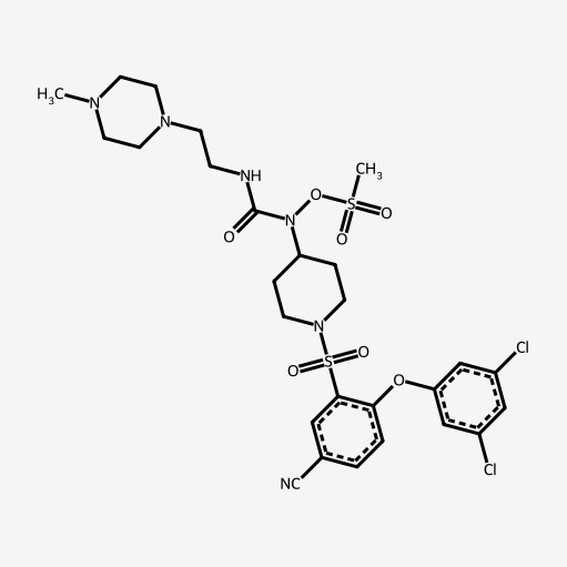 CN1CCN(CCNC(=O)N(OS(C)(=O)=O)C2CCN(S(=O)(=O)c3cc(C#N)ccc3Oc3cc(Cl)cc(Cl)c3)CC2)CC1